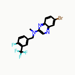 CN(Cc1ccc(F)c(C(F)(F)F)c1)c1cnc2cc(Br)ccc2n1